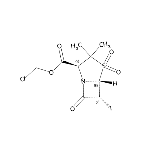 CC1(C)[C@H](C(=O)OCCl)N2C(=O)[C@@H](I)[C@H]2S1(=O)=O